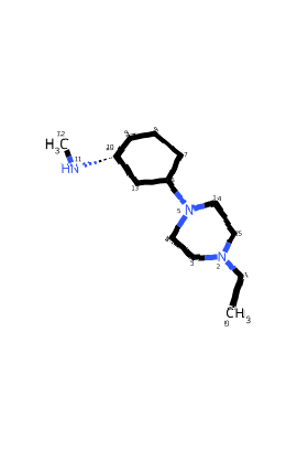 CCN1CCN(C2CCC[C@@H](NC)C2)CC1